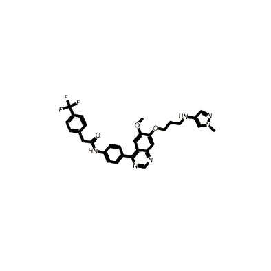 COc1cc2c(-c3ccc(NC(=O)Cc4ccc(C(F)(F)F)cc4)cc3)ncnc2cc1OCCCNc1cnn(C)c1